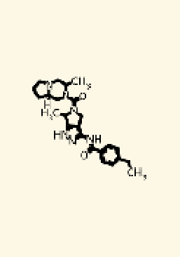 CCc1ccc(C(=O)Nc2n[nH]c3c2CN(C(=O)N2C[C@@H]4CCCN4CC2C)C3C)cc1